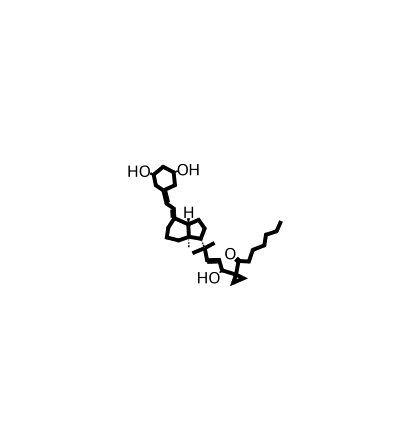 CCCCCCC(=O)C1([C@H](O)/C=C/C(C)(C)[C@H]2CC[C@H]3/C(=C/C=C4C[C@@H](O)C[C@H](O)C4)CCC[C@]23C)CC1